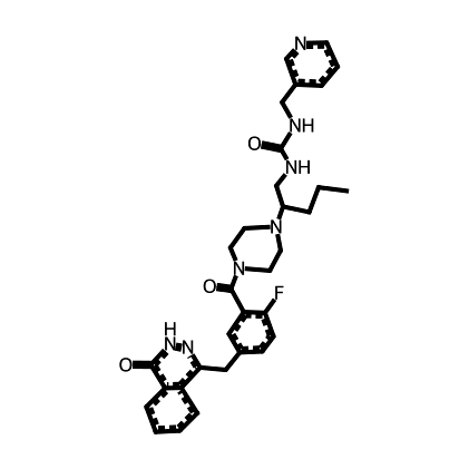 CCCC(CNC(=O)NCc1cccnc1)N1CCN(C(=O)c2cc(Cc3n[nH]c(=O)c4ccccc34)ccc2F)CC1